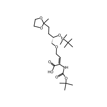 CC(C)(C)OC(=O)N/C(=C/COC[C@H](CCC1(C)OCCO1)O[Si](C)(C)C(C)(C)C)C(=O)O